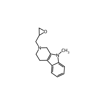 Cn1c2c(c3ccccc31)CCN(CC1CO1)C2